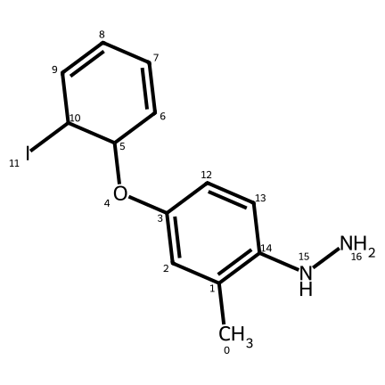 Cc1cc(OC2C=CC=CC2I)ccc1NN